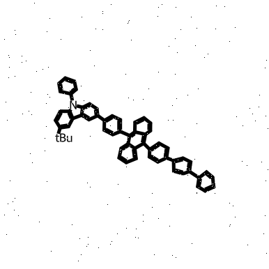 CC(C)(C)c1ccc2c(c1)c1cc(-c3ccc(-c4c5ccccc5c(-c5ccc(-c6ccc(-c7ccccc7)cc6)cc5)c5ccccc45)cc3)ccc1n2-c1ccccc1